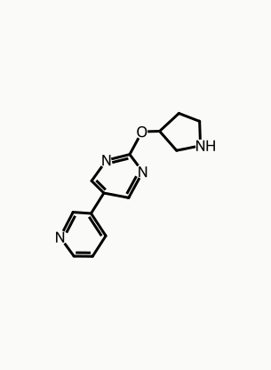 c1cncc(-c2cnc(OC3CCNC3)nc2)c1